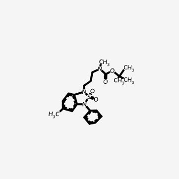 Cc1ccc2c(c1)N(c1ccccc1)S(=O)(=O)N2CCCN(C)C(=O)OC(C)(C)C